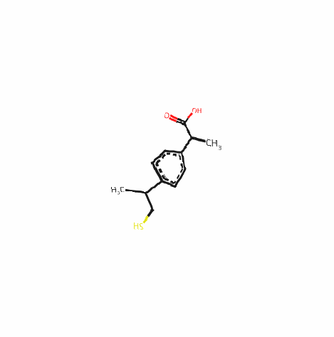 CC(CS)c1ccc(C(C)C(=O)O)cc1